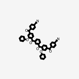 N#Cc1ccc(C(=O)c2ccc(C(=O)c3cccc(C(=O)c4ccc(C(=O)c5ccc(C#N)cc5)cc4Oc4ccccc4)c3)c(Oc3ccccc3)c2)cc1